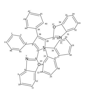 c1ccc(C2=C(c3nc4ccccc4o3)[Si](c3ccccc3)(c3ccccc3)C(c3nc4ccccc4o3)=C2c2ccccc2)cc1